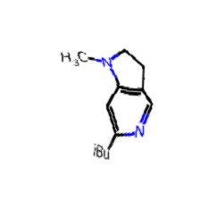 CCC(C)c1cc2c(cn1)CCN2C